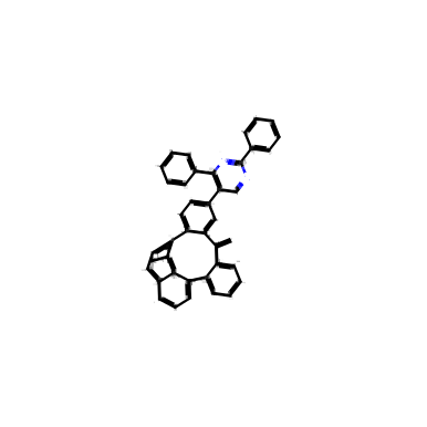 C=c1c2cc(-c3cnc(-c4ccccc4)nc3-c3ccccc3)ccc2c2ccc3cccc(c4ccccc14)c3c2C